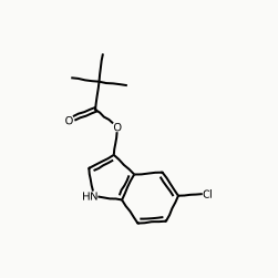 CC(C)(C)C(=O)Oc1c[nH]c2ccc(Cl)cc12